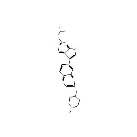 C[C@@H](Nc1ncc2c(-c3ccc4ncc(OC5CCN(C)CC5)nc4c3)c[nH]c2n1)C(F)(F)F